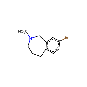 O=C(O)N1CCCc2ccc(Br)cc2C1